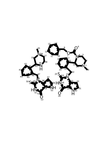 CN1CCN(C(=O)OCc2ccccc2)C(c2ccccc2Cn2c(=S)[nH]c(=O)c3[nH]ccc32)C1.CN1CCNC(c2ccccc2Cn2c(=S)[nH]c(=O)c3[nH]ccc32)C1